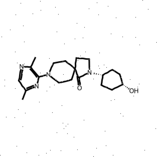 Cc1cnc(C)c(N2CCC3(CC2)CCN([C@H]2CC[C@@H](O)CC2)C3=O)n1